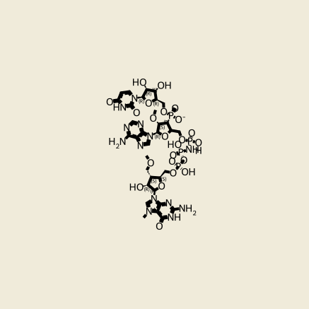 COC[C@H]1[C@@H](O)[C@H](n2c[n+](C)c3c(=O)[nH]c(N)nc32)O[C@@H]1COP(=O)(O)OP(=O)(O)NP(=O)(O)OCC1O[C@@H](n2cnc3c(N)ncnc32)[C@H](OC)[C@@H]1P(=O)([O-])OC[C@H]1O[C@@H](n2ccc(=O)[nH]c2=O)[C@H](O)[C@@H]1O